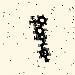 FC(F)(F)c1ccccc1-c1ccc2[nH]c(C=CC34CCC(Br)(CC3)CC4)nc2c1